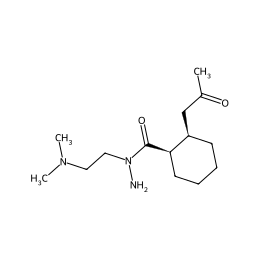 CC(=O)C[C@H]1CCCC[C@H]1C(=O)N(N)CCN(C)C